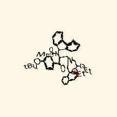 CCOC(CN(Cc1cccc2ccccc12)CC(C(=O)c1ccc(OC(C)(C)C)cc1)N(C(=O)OC)C1c2ccccc2-c2ccccc21)OCC